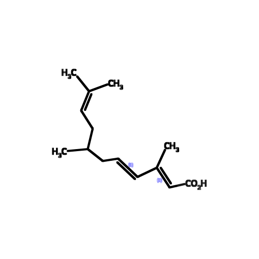 CC(C)=CCC(C)C/C=C/C(C)=C/C(=O)O